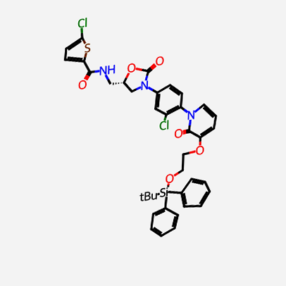 CC(C)(C)[Si](OCCOc1cccn(-c2ccc(N3C[C@H](CNC(=O)c4ccc(Cl)s4)OC3=O)cc2Cl)c1=O)(c1ccccc1)c1ccccc1